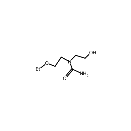 C[CH]OCCN(CCO)C(N)=O